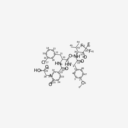 COc1ccc([C@H](NC(=O)C(Cc2cccc(Cl)c2)NC(=O)c2ccc(=O)n(CC(=O)O)c2)C(=O)N[C@H](C(=O)C(F)(F)F)C(C)C)cc1